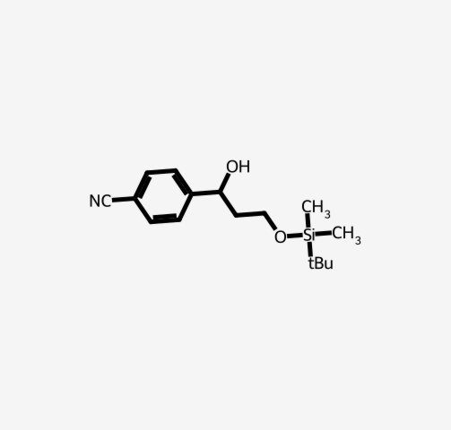 CC(C)(C)[Si](C)(C)OCCC(O)c1ccc(C#N)cc1